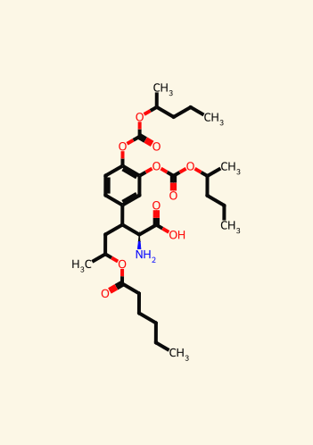 CCCCCC(=O)OC(C)CC(c1ccc(OC(=O)OC(C)CCC)c(OC(=O)OC(C)CCC)c1)[C@H](N)C(=O)O